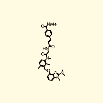 CNC(=O)c1ccc(C=CC(=O)NCC(=O)N(C)c2ccc(C)c(COc3cccc4c3nc(N(C)C)n4C)c2C)cc1